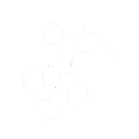 Clc1cc(CBr)ccc1-c1ccccc1C1=NNN(C(c2ccccc2)(c2ccccc2)c2ccccc2)N1